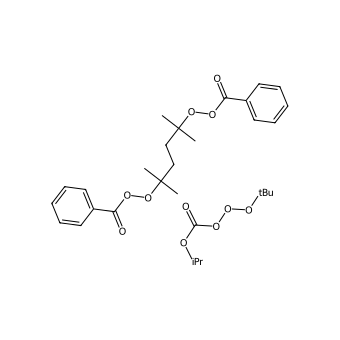 CC(C)(CCC(C)(C)OOC(=O)c1ccccc1)OOC(=O)c1ccccc1.CC(C)OC(=O)OOOC(C)(C)C